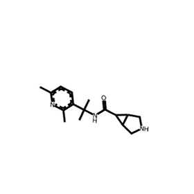 Cc1ccc(C(C)(C)NC(=O)C2C3CNCC32)c(C)n1